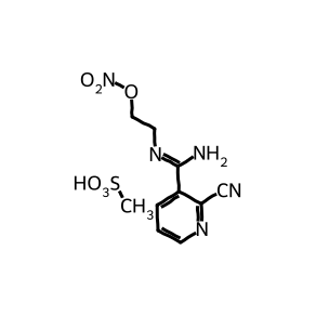 CS(=O)(=O)O.N#Cc1ncccc1/C(N)=N/CCO[N+](=O)[O-]